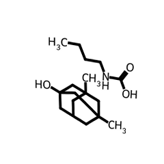 CC12CC3CC(C)(C1)CC(O)(C3)C2.CCCCNC(=O)O